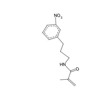 C=C(C)C(=O)NCCCc1cccc([N+](=O)[O-])c1